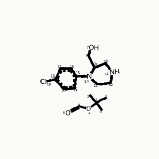 CC(C)(C)OC=O.OCC1CNCCN1c1ccc(Cl)cc1